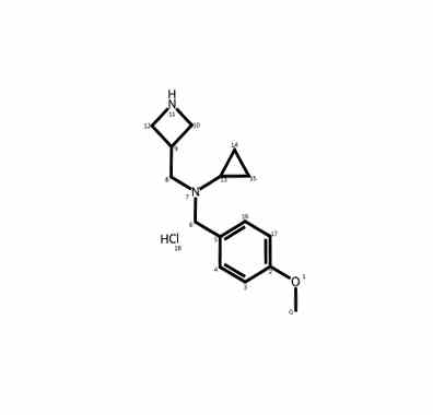 COc1ccc(CN(CC2CNC2)C2CC2)cc1.Cl